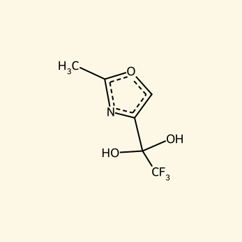 Cc1nc(C(O)(O)C(F)(F)F)co1